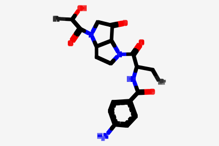 CC(C)CC(NC(=O)c1ccc(N)cc1)C(=O)N1CCC2C1C(=O)CN2C(=O)C(O)C(C)C